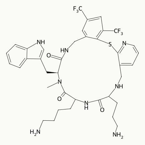 CN1C(=O)C(CCCCN)NC(=O)C(CCCN)NCc2cccnc2Sc2c(cc(C(F)(F)F)cc2C(F)(F)F)CNC(=O)[C@@H]1Cc1c[nH]c2ccccc12